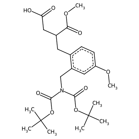 COC(=O)C(CC(=O)O)Cc1ccc(OC)cc1CN(C(=O)OC(C)(C)C)C(=O)OC(C)(C)C